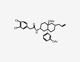 C=CCN1CC[C@@]2(c3cccc(OC(C)=O)c3)C[C@@H](NC(=O)Cc3ccc(Cl)c(Cl)c3)CC[C@]2(OC)C1